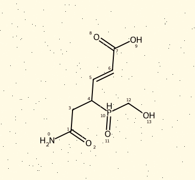 NC(=O)CC(C=CC(=O)O)[PH](=O)CO